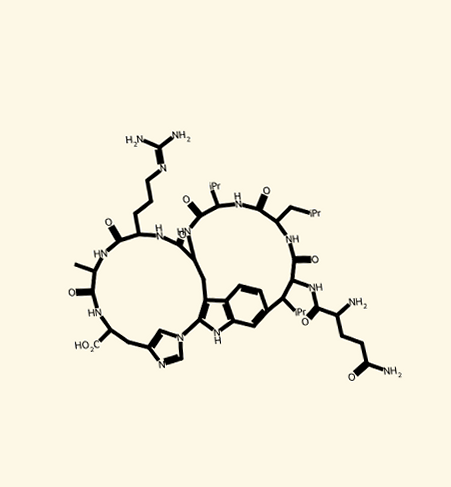 CC(C)CC1NC(=O)C(NC(=O)C(N)CCC(N)=O)C(C(C)C)c2ccc3c4c([nH]c3c2)-n2cnc(c2)CC(C(=O)O)NC(=O)C(C)NC(=O)C(CCCN=C(N)N)NC(=O)C(C4)NC(=O)C(C(C)C)NC1=O